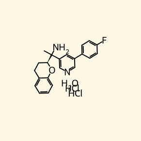 CC(N)(c1cncc(-c2ccc(F)cc2)c1)[C@@H]1CCc2ccccc2O1.Cl.Cl.O